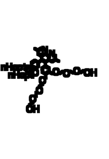 CCCCCCCOc1ccc(-c2c(-c3ccc(COCCOCCOCCO)c(COCCOCCOCCO)c3)c3cc(C)cnc3c3ncc(C)cc23)cc1OCCCCCCC